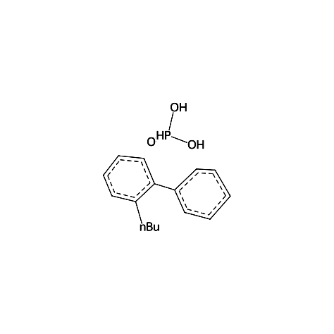 CCCCc1ccccc1-c1ccccc1.O=[PH](O)O